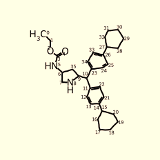 CCOC(=O)NC1CNC(C(c2ccc(C3CCCCC3)cc2)c2ccc(C3CCCCC3)cc2)C1